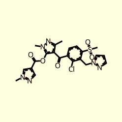 Cc1nn(C)c(OC(=O)c2cnn(C)c2)c1C(=O)c1ccc(S(C)(=O)=O)c(Cn2cccn2)c1Cl